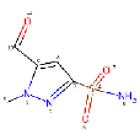 Cn1nc(S(N)(=O)=O)cc1C=O